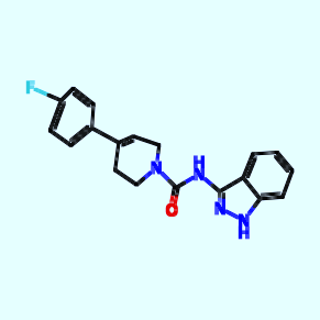 O=C(Nc1n[nH]c2ccccc12)N1CC=C(c2ccc(F)cc2)CC1